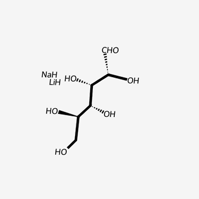 O=C[C@H](O)[C@@H](O)[C@H](O)[C@H](O)CO.[LiH].[NaH]